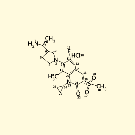 Cc1c(N2CCC([C@H](C)N)C2)c(F)cc2cc(S(C)(=O)=O)c(=O)n(C3CC3)c12.Cl